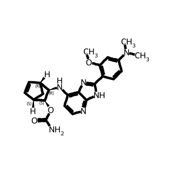 COc1cc(N(C)C)ccc1-c1nc2c(N[C@H]3[C@@H](OC(N)=O)[C@@H]4C=C[C@H]3C4)ccnc2[nH]1